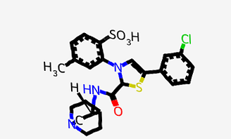 Cc1ccc(S(=O)(=O)O)c(N2C=C(c3cccc(Cl)c3)SC2C(=O)N[C@H]2CN3CCC2CC3)c1